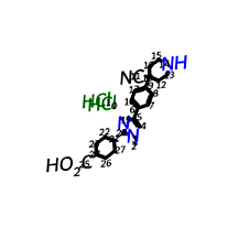 Cl.Cl.Cn1cc(-c2ccc(C3(C#N)CCNCC3)cc2)nc1[C@H]1CC[C@H](C(=O)O)CC1